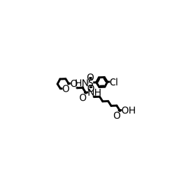 O=C(O)CCCCCCNC(=O)C(COC1CCCCO1)NS(=O)(=O)c1ccc(Cl)cc1